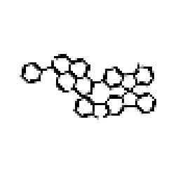 c1ccc(-c2ccc3ccc4c(-c5ccc6c(c5)C5(c7ccccc7-c7cc8oc9ccccc9c8cc75)c5cccnc5-6)ccc5ccc2c3c54)cc1